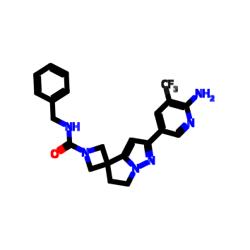 Nc1ncc(-c2cc3n(n2)CCC32CN(C(=O)NCc3ccccc3)C2)cc1C(F)(F)F